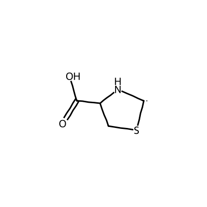 O=C(O)C1CS[CH]N1